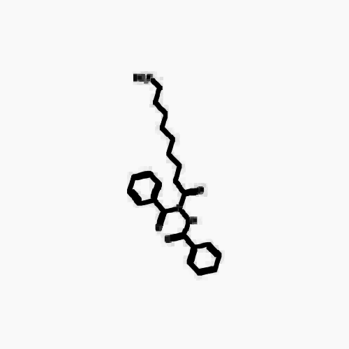 O=C(O)CCCCCCCCC(=O)N(NC(=O)c1ccccc1)C(=O)c1ccccc1